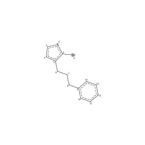 Brc1sccc1CCCc1ccccc1